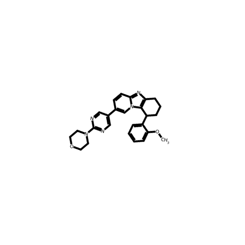 COc1ccccc1C1CCCc2nc3ccc(-c4cnc(N5CCOCC5)nc4)cn3c21